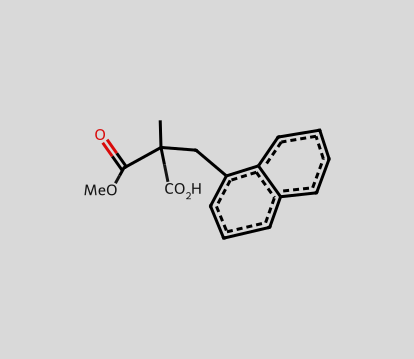 COC(=O)C(C)(Cc1cccc2ccccc12)C(=O)O